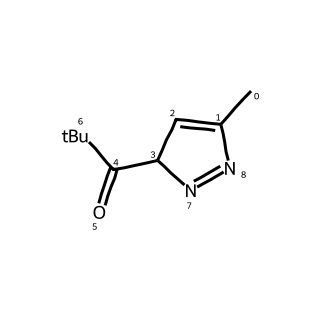 CC1=CC(C(=O)C(C)(C)C)N=N1